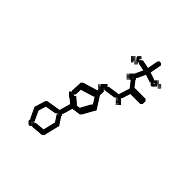 C=C(NNc1ccc(N2CCOCC2)nc1)NC(C)(C(F)(F)F)C(F)(F)F